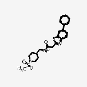 CS(=O)(=O)N1CCC(CNC(=O)Cc2nc3ccc(-c4ccccc4)cc3s2)CC1